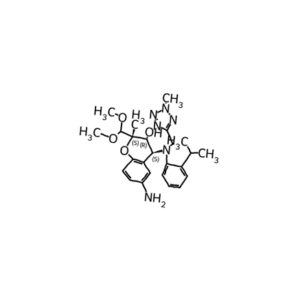 COC(OC)[C@@]1(C)Oc2ccc(N)cc2[C@H](N(Cc2nnn(C)n2)c2ccccc2C(C)C)[C@H]1O